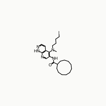 CN(CCCCI)c1c(NC(=O)C2CCCCCCCCCC2)cnc2c1C=C=NN2